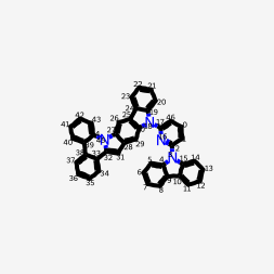 c1cc(-n2c3ccccc3c3ccccc32)nc(-n2c3ccccc3c3cc4c(cc32)cc2c3ccccc3c3ccccc3n42)c1